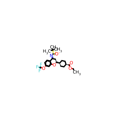 CCOC(=O)[C@H]1CC[C@@H]([C@@H]2C/C(=N\[S@@+]([O-])C(C)(C)C)c3ccc(OC(F)(F)F)cc3O2)CC1